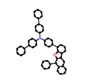 c1ccc(-c2ccc(N(c3ccc(-c4ccccc4)cc3)c3ccc(-c4cccc5c4oc4c(-c6ccccc6)c6ccccc6cc45)cc3)cc2)cc1